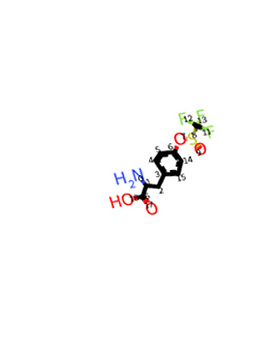 NC(Cc1ccc(OS(=O)C(F)(F)F)cc1)C(=O)O